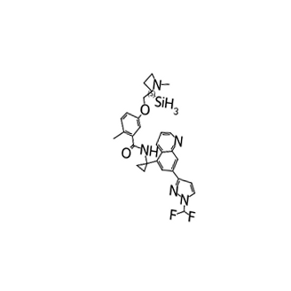 Cc1ccc(OC[C@@]2([SiH3])CCN2C)cc1C(=O)NC1(c2cc(-c3ccn(C(F)F)n3)cc3ncccc23)CC1